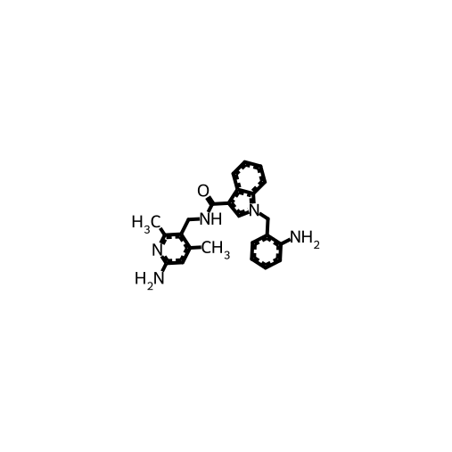 Cc1cc(N)nc(C)c1CNC(=O)c1cn(Cc2ccccc2N)c2ccccc12